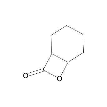 O=C1OC2CCCCC12